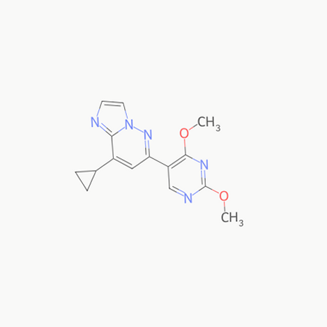 COc1ncc(-c2cc(C3CC3)c3nccn3n2)c(OC)n1